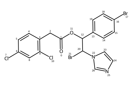 O=C(Cc1ccc(Cl)cc1Cl)OC(c1ccc(Br)cc1)C(Br)n1ccnc1